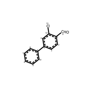 O=Cc1ccc(-c2ccccc2)cc1Cl